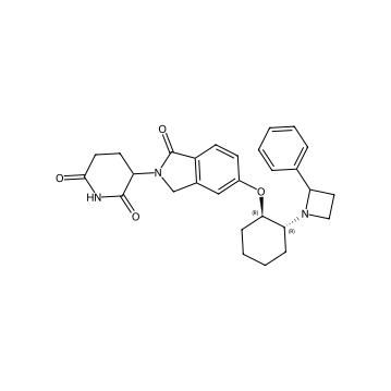 O=C1CCC(N2Cc3cc(O[C@@H]4CCCC[C@H]4N4CCC4c4ccccc4)ccc3C2=O)C(=O)N1